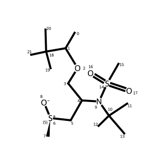 CC(OCC(C[S@@+](C)[O-])N(C(C)(C)C)S(C)(=O)=O)C(C)(C)C